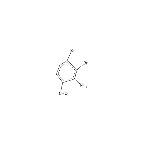 Nc1c([C]=O)ccc(Br)c1Br